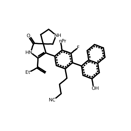 C=C(CC)C1=C(c2cc(CCCC#N)c(-c3cc(O)cc4ccccc34)c(F)c2CCC)C2(CCNC2)C(=O)N1